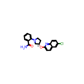 NC(=O)c1ccccc1N1CC[C@H](Oc2ccc3cc(Cl)ccc3n2)C1